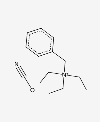 CC[N+](CC)(CC)Cc1ccccc1.N#C[O-]